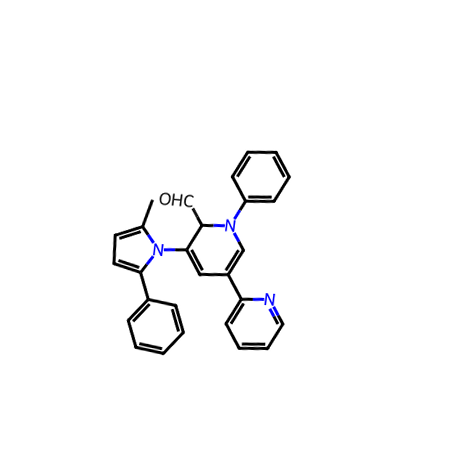 Cc1ccc(-c2ccccc2)n1C1=CC(c2ccccn2)=CN(c2ccccc2)C1C=O